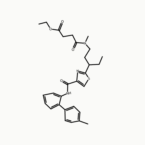 CCOC(=O)CCC(=O)N(C)CCC(CC)c1nc(C(=O)Nc2ccccc2-c2ccc(C)cc2)cs1